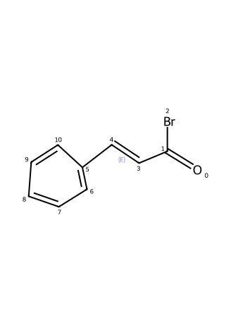 O=C(Br)/C=C/c1ccccc1